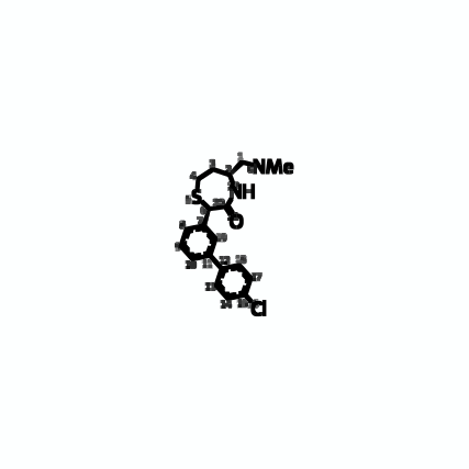 CNC[C@@H]1CCS[C@H](c2cccc(-c3ccc(Cl)cc3)c2)C(=O)N1